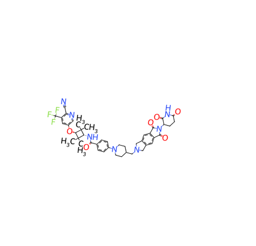 CC1(C)[C@H](NC(=O)c2ccc(N3CCC(CN4Cc5cc6c(cc5C4)C(=O)N(C4CCC(=O)NC4=O)C6=O)CC3)cc2)C(C)(C)[C@H]1Oc1cnc(C#N)c(C(F)(F)F)c1